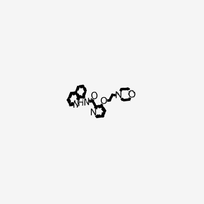 O=C(Nc1cccc2cccnc12)c1ncccc1OCCN1CCOCC1